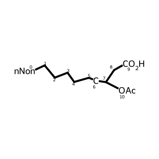 CCCCCCCCCCCCCCCC(CC(=O)O)OC(C)=O